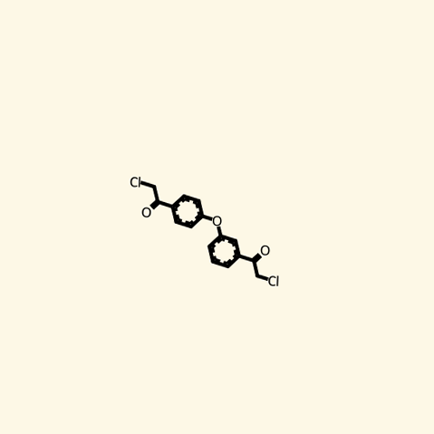 O=C(CCl)c1ccc(Oc2cccc(C(=O)CCl)c2)cc1